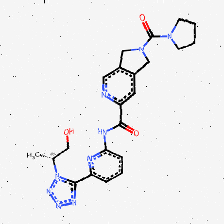 C[C@H](CO)n1nnnc1-c1cccc(NC(=O)c2cc3c(cn2)CN(C(=O)N2CCCC2)C3)n1